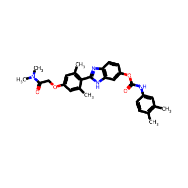 Cc1ccc(NC(=O)Oc2ccc3nc(-c4c(C)cc(OCC(=O)N(C)C)cc4C)[nH]c3c2)cc1C